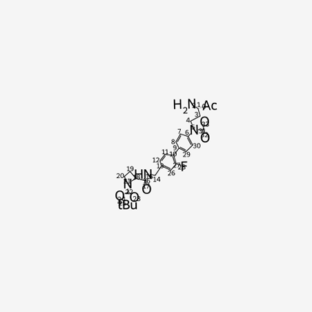 CC(=O)[C@@H](N)C1CN(c2ccc(-c3ccc(CNC(=O)C4CCN4C(=O)OC(C)(C)C)cc3F)cc2)C(=O)O1